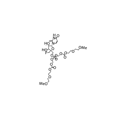 C=C1NC(=O)C=CN1[C@@H]1O[C@](CF)(COP(=O)(OCOC(=O)OCCOCCOC)OCOC(=O)OCCOCCOC)[C@@H](O)[C@@]1(C)O